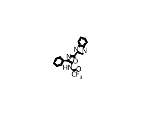 O=C(Nc1oc(-c2cnc3ccccc3n2)nc1-c1ccccc1)C(F)(F)F